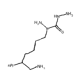 CCCC(CN)CCCCN(N)C(=O)NN